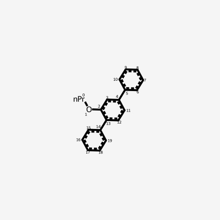 CCCOc1cc(-c2ccccc2)ccc1-c1ccccc1